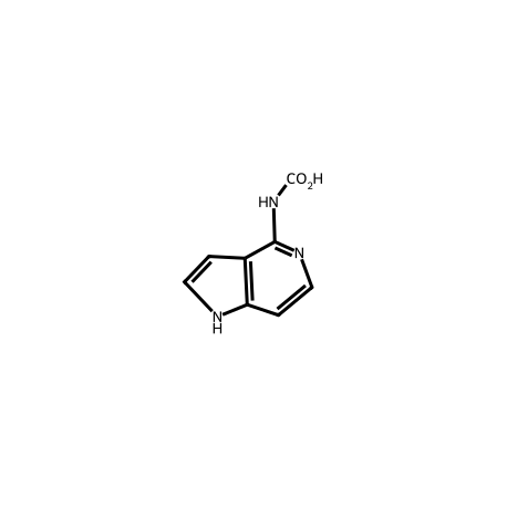 O=C(O)Nc1nccc2[nH]ccc12